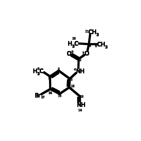 Cc1cc(NC(=O)OC(C)(C)C)c(C=N)cc1Br